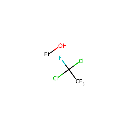 CCO.FC(F)(F)C(F)(Cl)Cl